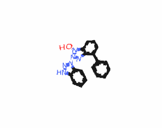 On1nnc2c(-c3ccccc3)cccc21.c1ccc2[nH]nnc2c1